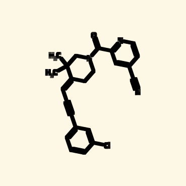 CC1(C)CN(C(=O)c2cc(C#N)ccn2)CC/C1=C\C#Cc1cccc(Cl)c1